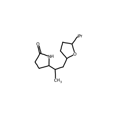 CC(C)C1CCC(CC(C)C2CCC(=O)N2)O1